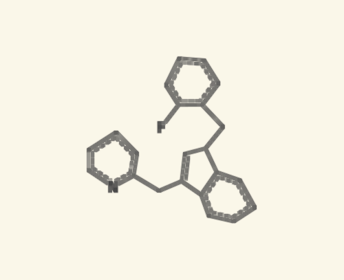 Fc1ccccc1CC1C=C(Cc2ccccn2)c2ccccc21